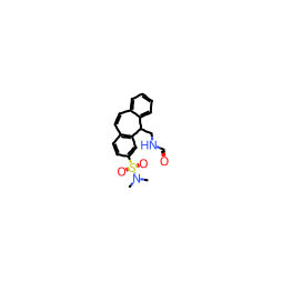 CN(C)S(=O)(=O)c1ccc2c(c1)C(CNC=O)c1ccccc1C=C2